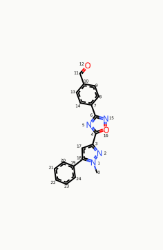 Cn1nc(-c2nc(-c3ccc(C=O)cc3)no2)cc1-c1ccccc1